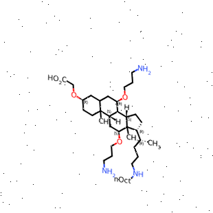 CCCCCCCCNCCC[C@@H](C)[C@H]1CC[C@H]2C3[C@H](OCCCN)CC4C[C@H](OCC(=O)O)CCC4(C)[C@H]3C[C@H](OCCCN)C12C